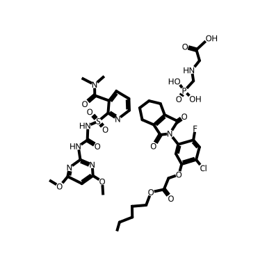 CCCCCOC(=O)COc1cc(N2C(=O)C3=C(CCCC3)C2=O)c(F)cc1Cl.COc1cc(OC)nc(NC(=O)NS(=O)(=O)c2ncccc2C(=O)N(C)C)n1.O=C(O)CNCP(=O)(O)O